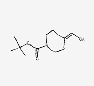 CC(C)(C)OC(=O)N1CCC(=CO)CC1